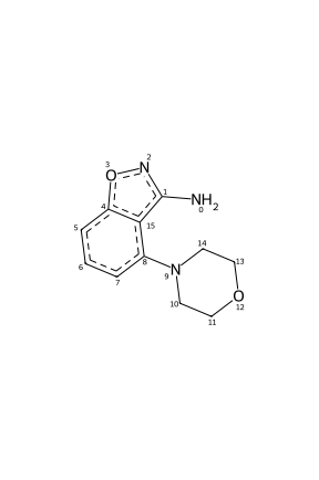 Nc1noc2cccc(N3CCOCC3)c12